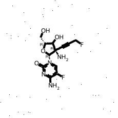 Nc1nc(=O)n([C@@H]2O[C@H](CO)C(O)[C@]2(N)C#CCF)cc1F